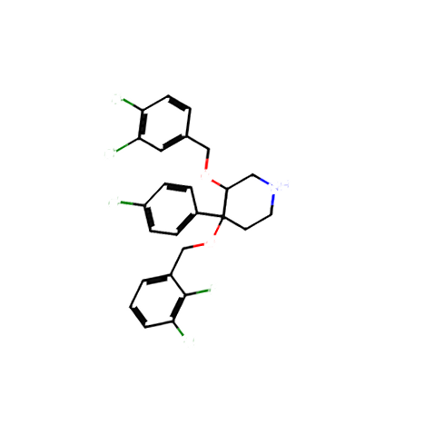 Fc1c(Cl)cccc1COC1(c2ccc(Cl)cc2)CCNCC1OCc1ccc(Cl)c(Cl)c1